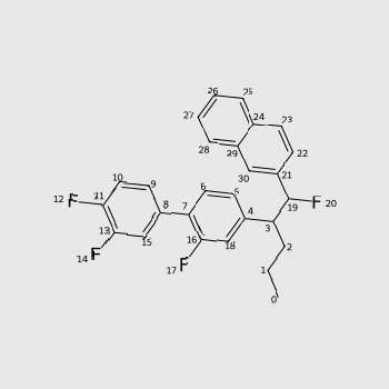 CCCC(c1ccc(-c2ccc(F)c(F)c2)c(F)c1)C(F)c1ccc2ccccc2c1